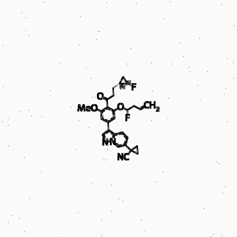 C=CCC(F)Oc1cc(-c2cnn3cc(C4(C#N)CC4)ccc23)cc(OC)c1C(=O)CC[C@@H]1C[C@@H]1F